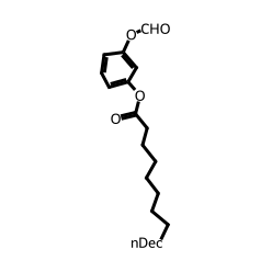 CCCCCCCCCCCCCCCCCC(=O)Oc1cccc(OC=O)c1